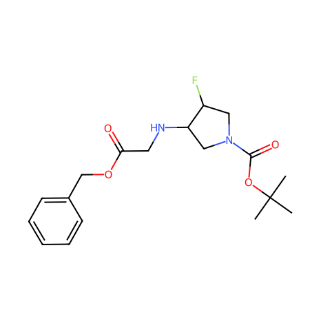 CC(C)(C)OC(=O)N1CC(F)C(NCC(=O)OCc2ccccc2)C1